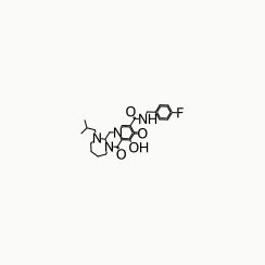 CC(C)CN1CCCCN2C(=O)c3c(O)c(=O)c(C(=O)NCc4ccc(F)cc4)cn3CC12